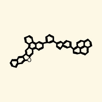 c1cc(-c2ccc3cc(-c4ccc5ccc6cccc7ccc4c5c67)ccc3c2)cc(-c2ccc3c(c2)c2ccccc2c2cc4c(cc32)oc2cc3ccccc3cc24)c1